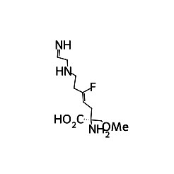 COC[C@@](N)(C/C=C(\F)CCNCC=N)C(=O)O